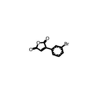 O=C1C=C(c2cccc(Br)c2)C(=O)O1